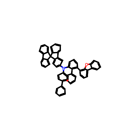 c1ccc(-c2ccc(N(c3ccc4c(c3)-c3ccccc3C43c4ccccc4-c4ccccc43)c3cccc(-c4cccc5c4oc4ccccc45)c3-c3ccccc3)cc2)cc1